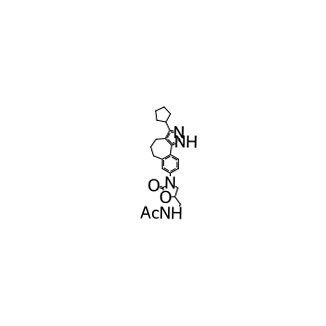 CC(=O)NCC1CN(c2ccc3c(c2)CCCc2c(C4CCCC4)n[nH]c2-3)C(=O)O1